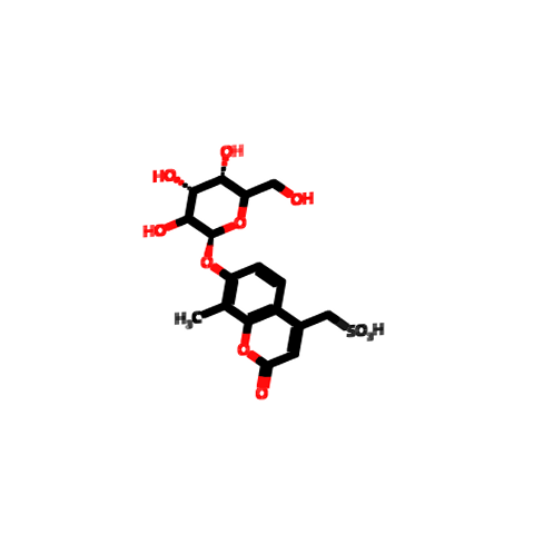 Cc1c(O[C@@H]2OC(CO)[C@@H](O)[C@@H](O)C2O)ccc2c(CS(=O)(=O)O)cc(=O)oc12